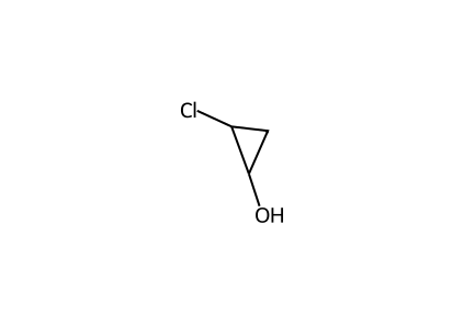 OC1CC1Cl